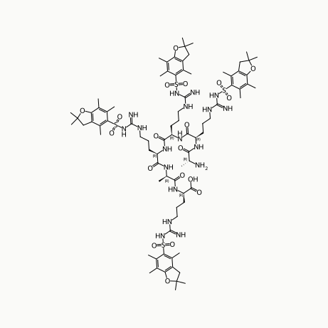 Cc1c(C)c(S(=O)(=O)NC(=N)NCCC[C@@H](NC(=O)[C@@H](C)NC(=O)[C@@H](CCCNC(=N)NS(=O)(=O)c2c(C)c(C)c3c(c2C)CC(C)(C)O3)NC(=O)[C@@H](CCCNC(=N)NS(=O)(=O)c2c(C)c(C)c3c(c2C)CC(C)(C)O3)NC(=O)[C@@H](CCCNC(=N)NS(=O)(=O)c2c(C)c(C)c3c(c2C)CC(C)(C)O3)NC(=O)[C@@H](C)N)C(=O)O)c(C)c2c1OC(C)(C)C2